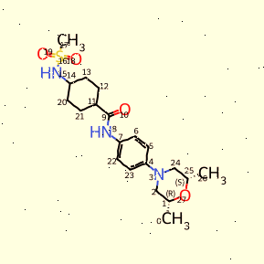 C[C@@H]1CN(c2ccc(NC(=O)C3CCC(NS(C)(=O)=O)CC3)cc2)C[C@H](C)O1